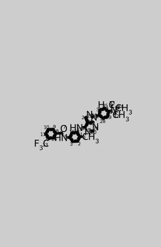 Cc1ccc(NC(=O)c2cccc(C(F)(F)F)c2)cc1Nc1ncnc2c1cnn2-c1ccc([N+](C)(C)C)cc1